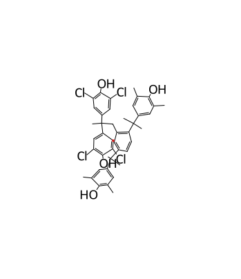 Cc1cc(C(C)(C)c2ccc(C(C)(C)c3cc(C)c(O)c(C)c3)c(CC(C)(c3cc(Cl)c(O)c(Cl)c3)c3cc(Cl)c(O)c(Cl)c3)c2)cc(C)c1O